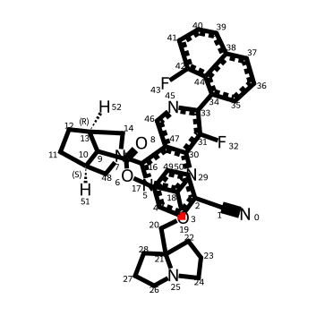 N#Cc1ccc(OC(=O)C2[C@@H]3CC[C@H]2CN(c2nc(OCC45CCCN4CCC5)nc4c(F)c(-c5cccc6cccc(F)c56)ncc24)C3)cc1